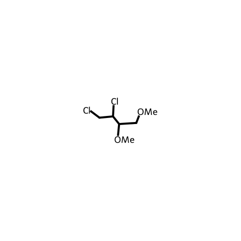 COCC(OC)C(Cl)CCl